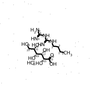 CCCCNC(=N)NC(=N)N.Cl.O=C(O)[C@H](O)[C@@H](O)[C@H](O)[C@H](O)CO